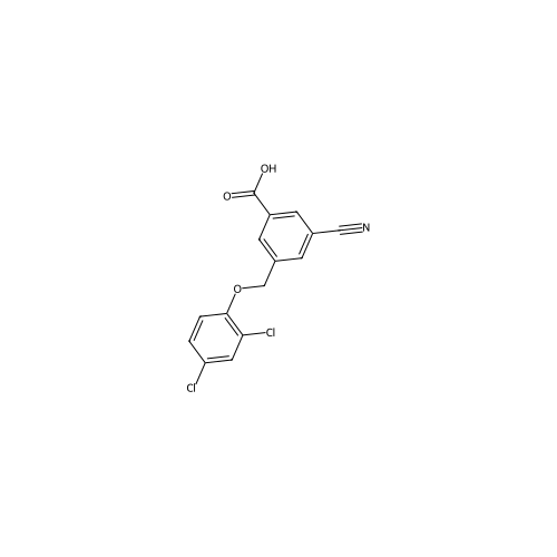 N#Cc1cc(COc2ccc(Cl)cc2Cl)cc(C(=O)O)c1